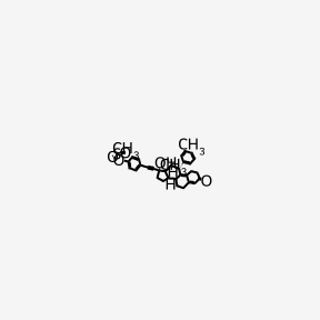 Cc1cccc([C@H]2C[C@@]3(C)[C@@H](CC[C@@]3(O)C#Cc3ccc(OS(C)(=O)=O)cc3)[C@@H]3CCC4=CC(=O)CCC4=C32)c1